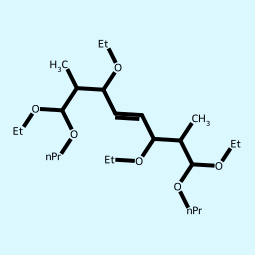 CCCOC(OCC)C(C)C(C=CC(OCC)C(C)C(OCC)OCCC)OCC